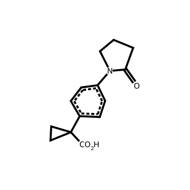 O=C1CCCN1c1ccc(C2(C(=O)O)CC2)cc1